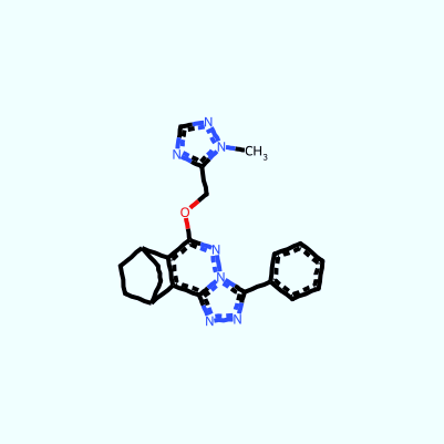 Cn1ncnc1COc1nn2c(-c3ccccc3)nnc2c2c1C1CCC2CC1